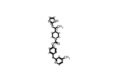 Cc1ccnc(Cc2ccc(OC(=O)N3CCC(C(C)Sc4ncc[nH]4)CC3)cc2)c1